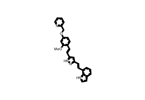 COc1cc(OCc2ccccn2)ccc1C=Cc1cc(C=Cc2cccc3cc[nH]c23)n[nH]1